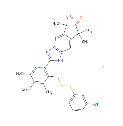 COc1c(C)c[n+](-c2nc3cc4c(cc3[nH]2)C(C)(C)C(=O)C4(C)C)c(CSSc2cccc(Cl)c2)c1C.[Cl-]